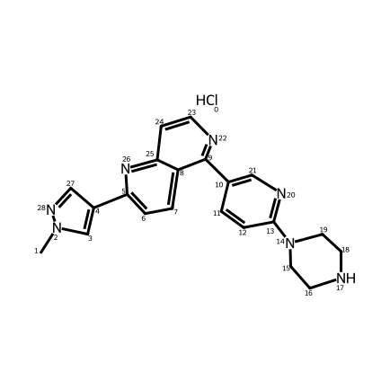 Cl.Cn1cc(-c2ccc3c(-c4ccc(N5CCNCC5)nc4)nccc3n2)cn1